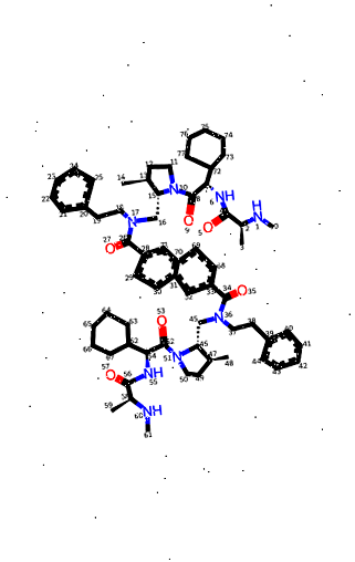 CN[C@@H](C)C(=O)N[C@H](C(=O)N1CC[C@H](C)[C@H]1CN(CCc1ccccc1)C(=O)c1ccc2cc(C(=O)N(CCc3ccccc3)C[C@@H]3[C@@H](C)CCN3C(=O)[C@@H](NC(=O)[C@H](C)NC)C3CCCCC3)ccc2c1)C1CCCCC1